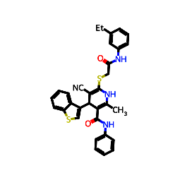 CCc1cccc(NC(=O)CSC2=C(C#N)C(c3csc4ccccc34)C(C(=O)Nc3ccccc3)=C(C)N2)c1